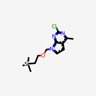 Cc1nc(Cl)nc2c1ccn2COCC[Si](C)(C)C